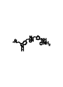 CN(C)CCc1c[nH]c2ccc(Cc3nc(Cc4ccc(NC(N)=O)cc4)no3)cc12